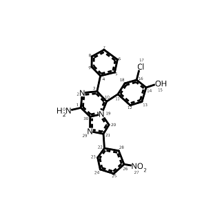 Nc1nc(-c2ccccc2)c(-c2ccc(O)c(Cl)c2)n2cc(-c3cccc([N+](=O)[O-])c3)nc12